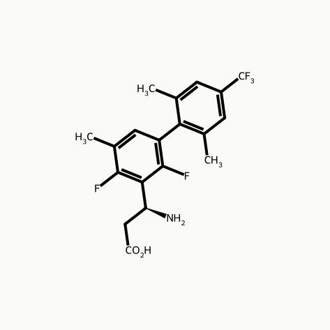 Cc1cc(-c2c(C)cc(C(F)(F)F)cc2C)c(F)c([C@@H](N)CC(=O)O)c1F